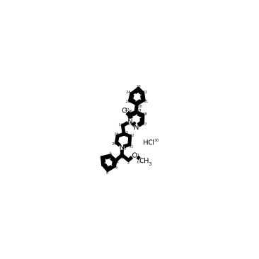 COCC(c1ccccc1)N1CCC(Cn2nccc(-c3ccccc3)c2=O)CC1.Cl